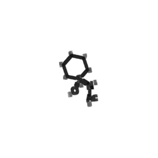 CC(=O)N=S1(=O)CCCCC1